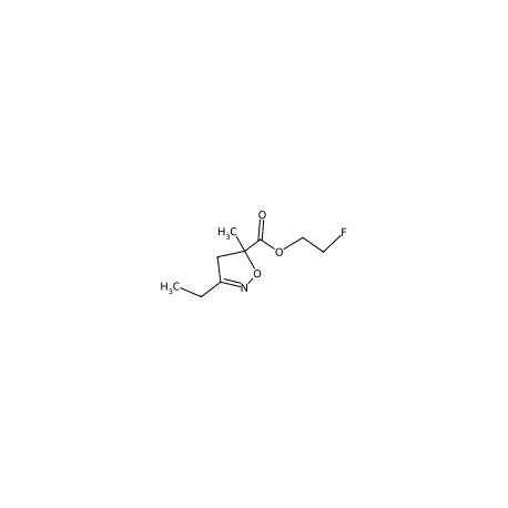 CCC1=NOC(C)(C(=O)OCCF)C1